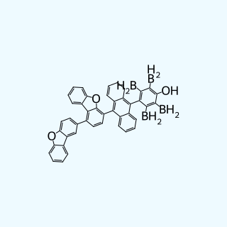 Bc1c(B)c(-c2c3c(c(-c4ccc(-c5ccc6oc7ccccc7c6c5)c5c4oc4ccccc45)c4ccccc24)C=CCC3)c(B)c(B)c1O